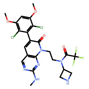 CNc1ncc2cc(-c3c(Cl)c(OC)cc(OC)c3Cl)c(=O)n(CCN(C(=O)C(F)(F)F)C3CNC3)c2n1